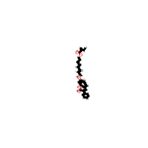 CCC(C)C(=O)OCCCCCCCCOc1ccc2cc(-c3ccccc3)c(=O)oc2c1